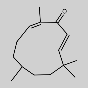 C/C1=C/CCC(C)CCC(C)(C)/C=C/C1=O